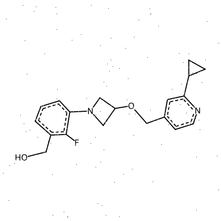 OCc1cccc(N2CC(OCc3ccnc(C4CC4)c3)C2)c1F